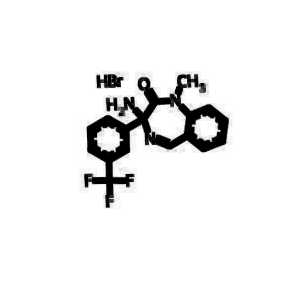 Br.CN1C(=O)C(N)(c2cccc(C(F)(F)F)c2)N=Cc2ccccc21